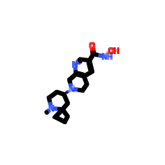 CN1CC[C@H](N2CCc3cc(C(=O)NO)cnc3C2)CC12CCC2